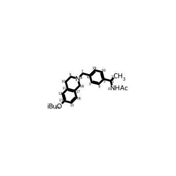 CC(=O)NC(C)c1ccc(CN2CCc3cc(OCC(C)C)ccc3C2)cc1